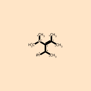 CC(C)=C(C(C)C(C)C)N(C)C